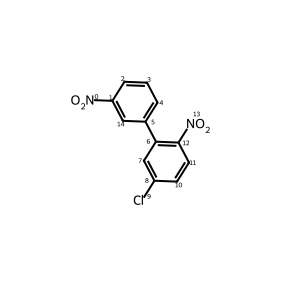 O=[N+]([O-])c1cccc(-c2cc(Cl)ccc2[N+](=O)[O-])c1